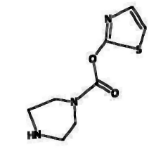 O=C(Oc1nccs1)N1CCNCC1